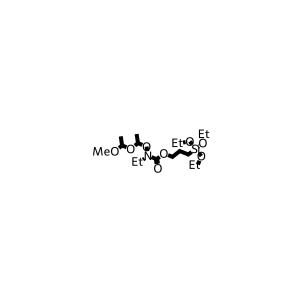 CCO[Si](CCCOC(=O)N(CC)OC(C)OC(C)OC)(OCC)OCC